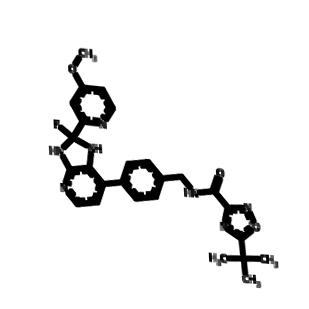 COc1ccnc(C2(F)Nc3nccc(-c4ccc(CNC(=O)c5noc(C(C)(C)C)n5)cc4)c3N2)c1